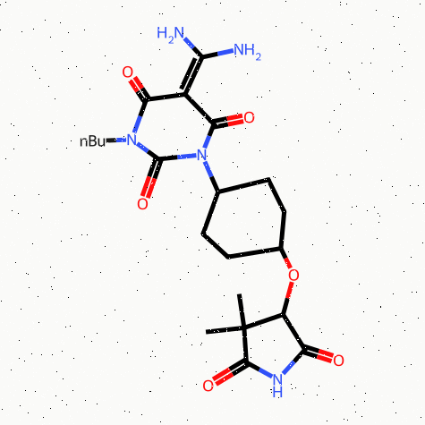 CCCCN1C(=O)C(=C(N)N)C(=O)N(C2CCC(OC3C(=O)NC(=O)C3(C)C)CC2)C1=O